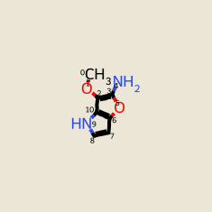 COc1c(N)oc2cc[nH]c12